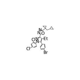 CCc1c(-c2nnc(C3(CC4CC4)CC3)o2)nn(-c2ccc(Cl)cc2Cl)c1-c1ccc(Br)cc1